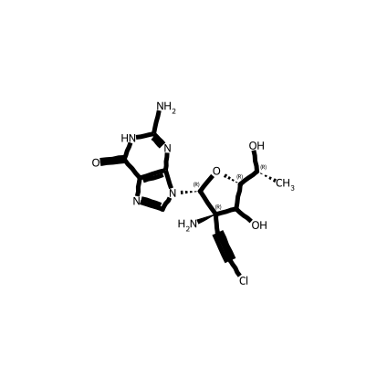 C[C@@H](O)[C@H]1O[C@@H](n2cnc3c(=O)[nH]c(N)nc32)[C@@](N)(C#CCl)C1O